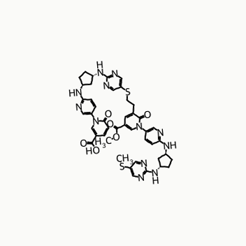 COC(=O)c1cc(CCSc2cnc(N[C@H]3CC[C@H](Nc4ccc(-n5cc(C(=O)O)ccc5=O)cn4)C3)nc2)c(=O)n(-c2ccc(N[C@H]3CC[C@H](Nc4ncc(SC)cn4)C3)nc2)c1